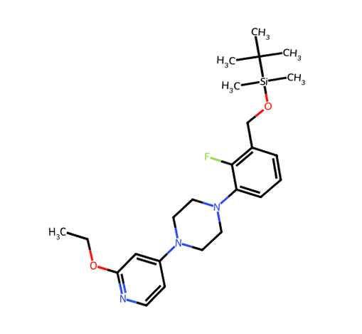 CCOc1cc(N2CCN(c3cccc(CO[Si](C)(C)C(C)(C)C)c3F)CC2)ccn1